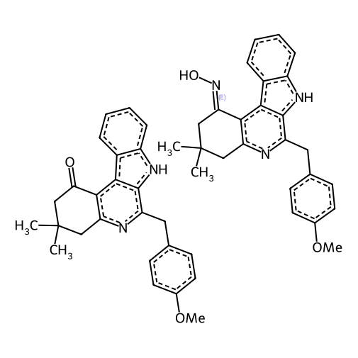 COc1ccc(Cc2nc3c(c4c2[nH]c2ccccc24)/C(=N/O)CC(C)(C)C3)cc1.COc1ccc(Cc2nc3c(c4c2[nH]c2ccccc24)C(=O)CC(C)(C)C3)cc1